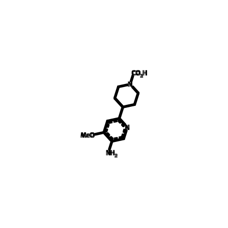 COc1cc(C2CCN(C(=O)O)CC2)ncc1N